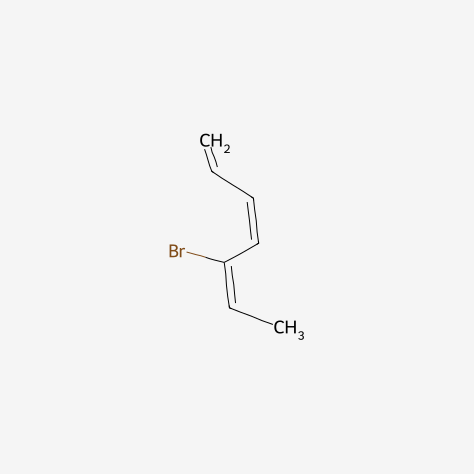 C=C/C=C\C(Br)=C/C